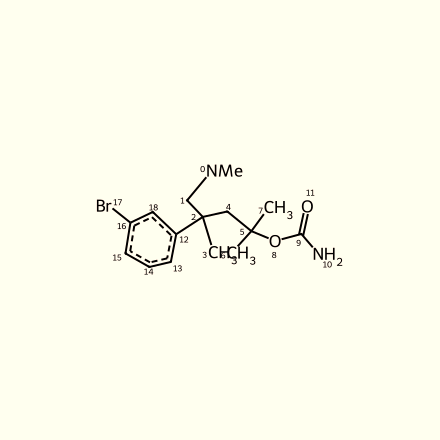 CNCC(C)(CC(C)(C)OC(N)=O)c1cccc(Br)c1